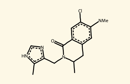 CNc1cc2c(cc1Cl)C(=O)N(Cc1nc[nH]c1C)C(C)C2